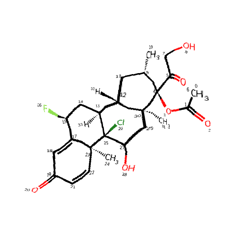 CC(=O)O[C@]1(C(=O)CO)[C@@H](C)C[C@H]2[C@@H]3C[C@H](F)C4=CC(=O)C=C[C@]4(C)[C@@]3(Cl)C(O)C[C@@]21C